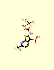 CC(C)(C)OC(=O)Nc1sc2nc(C(F)(F)F)ccc2c1C(=O)O